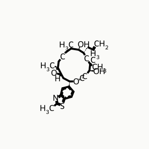 C=CC[C@@H]1CC(C)(C)[C@@H](O)CCO[C@H](c2ccc3sc(C)nc3c2)C[C@@H]2O[C@]2(C)CCC[C@H](C)[C@@H]1O